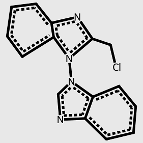 ClCc1nc2ccccc2n1-n1cnc2ccccc21